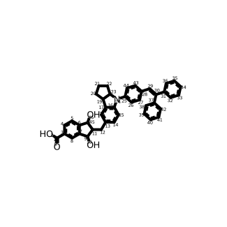 O=C(O)c1ccc2c(c1)C(O)C(Cc1ccc3c(c1)C1CCCC1N3c1ccc(C=C(c3ccccc3)c3ccccc3)cc1)C2O